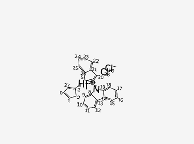 C1=CC[C]([Hf+2][CH]2C(n3c4ccccc4c4ccccc43)=Cc3ccccc32)=C1.[Cl-].[Cl-]